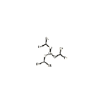 CCC(CC)[O][Sb]([O]C(CC)CC)[O]C(CC)CC